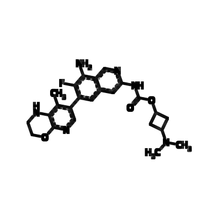 Cc1c(-c2cc3cc(NC(=O)OC4CC(N(C)C)C4)ncc3c(N)c2F)cnc2c1NCCO2